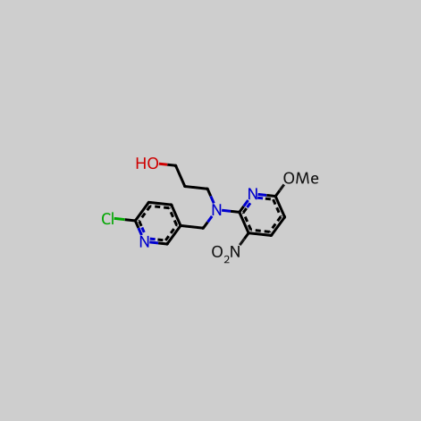 COc1ccc([N+](=O)[O-])c(N(CCCO)Cc2ccc(Cl)nc2)n1